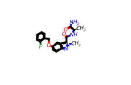 C[C@@H](NC(=O)c1c2cc(OCc3ccccc3F)ccc2nn1C)C(N)=O